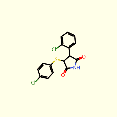 O=C1NC(=O)C(c2ccccc2Cl)C1Sc1ccc(Cl)cc1